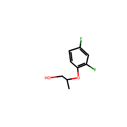 CC(CO)Oc1ccc(F)cc1F